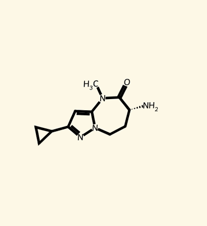 CN1C(=O)[C@H](N)CCn2nc(C3CC3)cc21